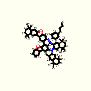 CCCCc1ccc(N2B3c4cc5c(cc4N(c4cc6c(cc4C)C(C)(C)CCC6(C)C)c4cc6c(oc7ccccc76)c(c43)-c3cc4c(cc32)oc2cc3c(cc24)C(C)(C)CCC3(C)C)C(C)(C)CCC5(C)C)cc1